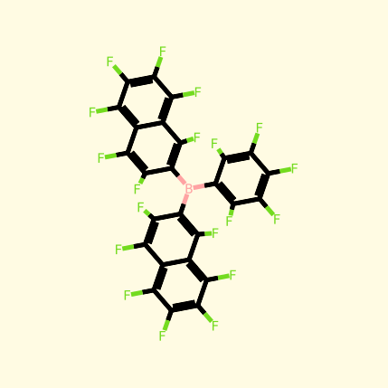 Fc1c(F)c(F)c(B(c2c(F)c(F)c3c(F)c(F)c(F)c(F)c3c2F)c2c(F)c(F)c3c(F)c(F)c(F)c(F)c3c2F)c(F)c1F